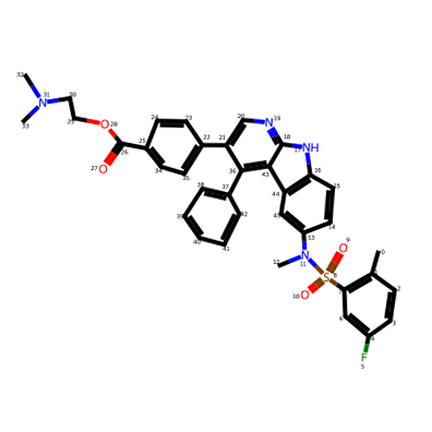 Cc1ccc(F)cc1S(=O)(=O)N(C)c1ccc2[nH]c3ncc(-c4ccc(C(=O)OCCN(C)C)cc4)c(-c4ccccc4)c3c2c1